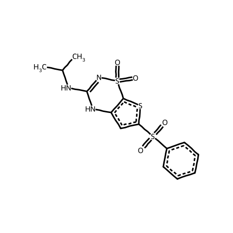 CC(C)NC1=NS(=O)(=O)c2sc(S(=O)(=O)c3ccccc3)cc2N1